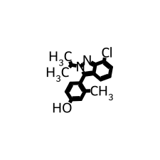 Cc1cc(O)ccc1-c1c2cccc(Cl)c2nn1C(C)C